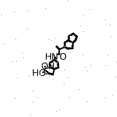 C=C(C(=O)Nc1ccc2c(c1)S(O)(O)C=C2)c1ccc2ccccc2c1